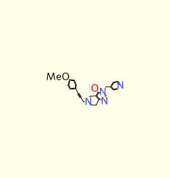 COc1ccc(C#CCN2CCc3ncn(Cc4ccncc4)c(=O)c3C2)cc1